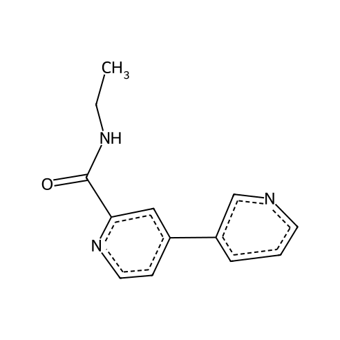 CCNC(=O)c1cc(-c2cccnc2)ccn1